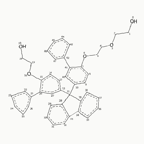 OCCOCCOc1ccc(C2(c3ccc(OCCO)c(-c4ccccc4)c3)c3ccccc3-c3ccccc32)cc1-c1ccccc1